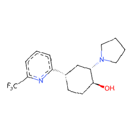 O[C@H]1CC[C@H](c2cccc(C(F)(F)F)n2)C[C@@H]1N1CCCC1